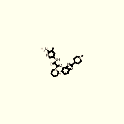 Cc1cc(NC(=O)C(=O)N2CCCC[C@H]2c2ccc3sc(C4CCN(C)CC4)nc3c2)cnc1N